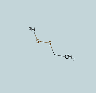 [3H]SSCC